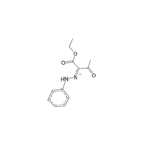 CCOC(=O)/C(=N\Nc1ccccc1)C(C)=O